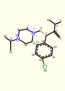 C=C(C(C)C)[C@@H](CN1CCN(C(C)C)CC1)c1ccc(Cl)cc1